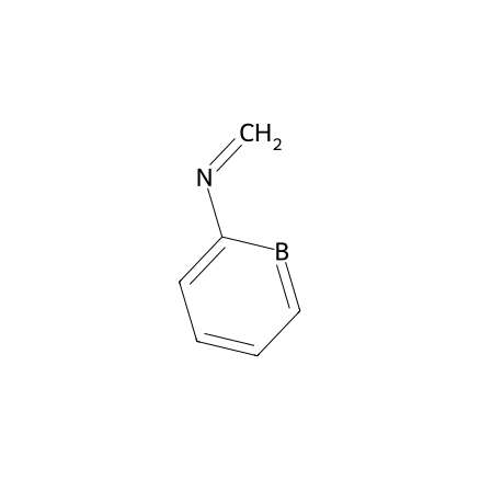 C=Nc1bcccc1